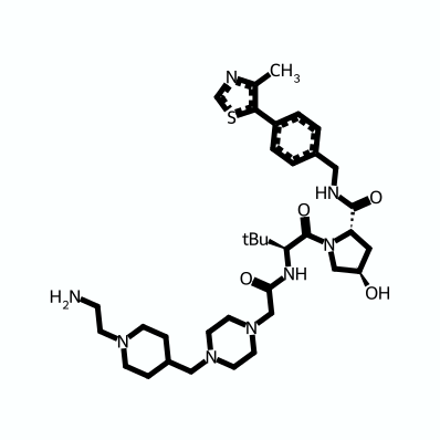 Cc1ncsc1-c1ccc(CNC(=O)[C@@H]2C[C@@H](O)CN2C(=O)[C@@H](NC(=O)CN2CCN(CC3CCN(CCN)CC3)CC2)C(C)(C)C)cc1